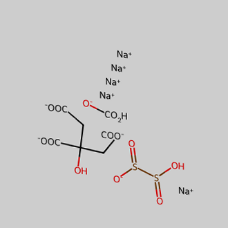 O=C([O-])CC(O)(CC(=O)[O-])C(=O)[O-].O=C([O-])O.O=S([O-])S(=O)O.[Na+].[Na+].[Na+].[Na+].[Na+]